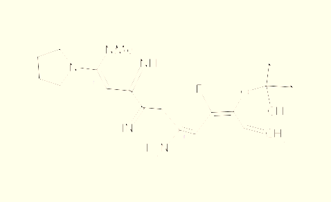 C=C/C(OC1(C)CC1)=C(F)\C=C(\N)CC(=N)C(=N)/C=C(\NC)N1CCCC1